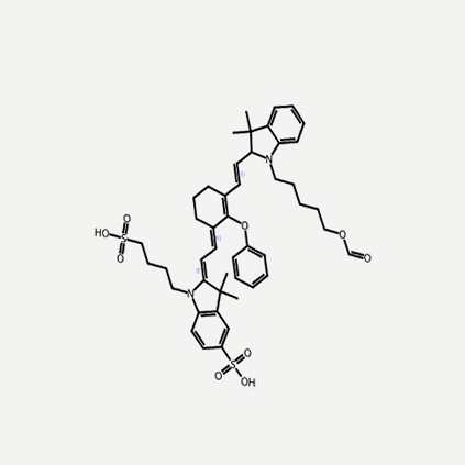 CC1(C)/C(=C\C=C2/CCCC(/C=C/C3N(CCCCCOC=O)c4ccccc4C3(C)C)=C2Oc2ccccc2)N(CCCCS(=O)(=O)O)c2ccc(S(=O)(=O)O)cc21